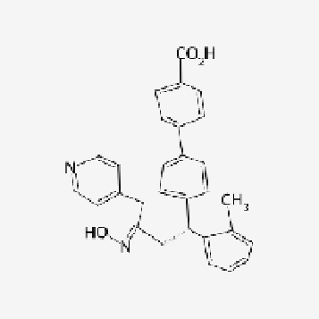 Cc1ccccc1[C@H](C/C(Cc1ccncc1)=N/O)c1ccc(-c2ccc(C(=O)O)cc2)cc1